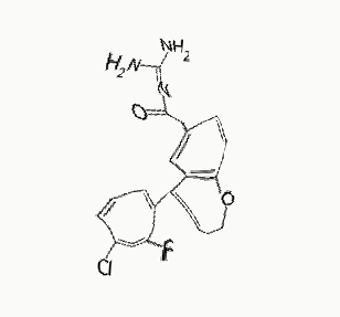 NC(N)=NC(=O)c1ccc2c(c1)C(c1cccc(Cl)c1F)=CCO2